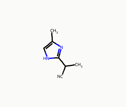 Cc1c[nH]c(C(C)C#N)n1